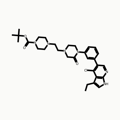 CCc1c[nH]c2ncc(-c3cccc(N4CCN(CCN5CCN(C(=O)OC(C)(C)C)CC5)CC4=O)c3)c(Cl)c12